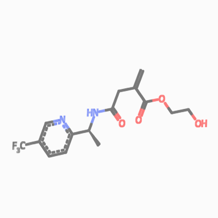 C=C(CC(=O)N[C@@H](C)c1ccc(C(F)(F)F)cn1)C(=O)OCCO